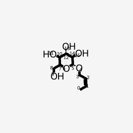 C/C=C\CO[C@@H]1OC(CO)C(O)[C@H](O)C1O